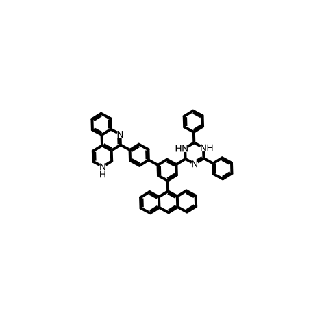 C1=Cc2c(c(-c3ccc(-c4cc(-c5c6ccccc6cc6ccccc56)cc(C5N=C(c6ccccc6)NC(c6ccccc6)N5)c4)cc3)nc3ccccc23)CN1